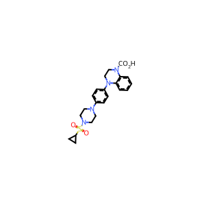 O=C(O)N1CCN(c2ccc(N3CCN(S(=O)(=O)C4CC4)CC3)cc2)c2ccccc21